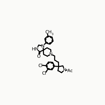 CC(=O)N1CCC(CCCN2CCC3(CC2)C(=O)NCN3c2cccc(C)c2)(c2ccc(Cl)c(Cl)c2)C1